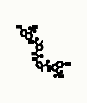 Cc1ccc(NC(=O)Nc2ccc(C)c(C(=O)Nc3cc(S(=O)(=O)O)c4cc(O)ccc4c3)c2)cc1C(=O)Nc1cc(S(=O)(=O)O)c2cc(O)ccc2c1